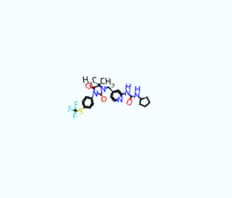 CC1(C)C(=O)N(c2ccc(SC(F)(F)F)cc2)C(=O)N1Cc1ccnc(NC(=O)NC2CCCC2)c1